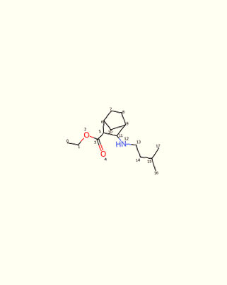 CCOC(=O)C1C2CCC(C2)C1NCCC(C)C